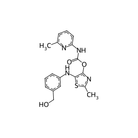 Cc1cccc(NC(=O)Oc2nc(C)sc2Nc2cccc(CO)c2)n1